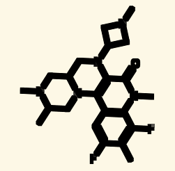 Cc1c(F)cc2c3c(c(=O)n(C)c2c1F)N(C1CN(C)C1)CC1CN(C)C(C)CN31